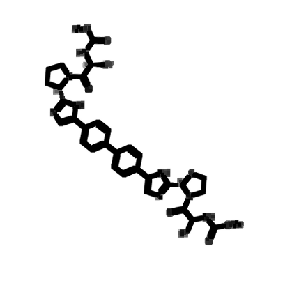 COC(=O)NC(C(=O)N1CCS[C@H]1c1ncc(-c2ccc(-c3ccc(-c4cnc([C@@H]5CCCN5C(=O)[C@@H](NC(=O)OC)C(C)C)[nH]4)cc3)cc2)[nH]1)C(C)C